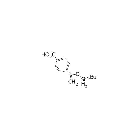 C=C(O[SiH2]C(C)(C)C)c1ccc(C(=O)O)cc1